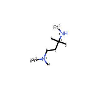 CCNC(C)(C)CCN(C)C(C)C